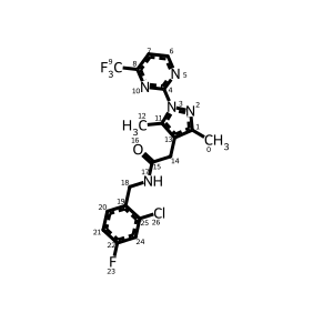 Cc1nn(-c2nccc(C(F)(F)F)n2)c(C)c1CC(=O)NCc1ccc(F)cc1Cl